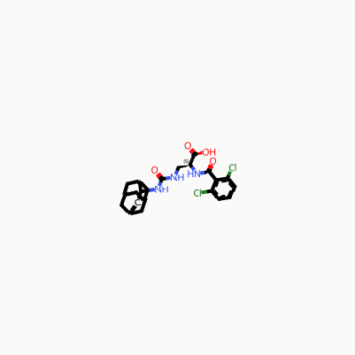 O=C(NC[C@H](NC(=O)c1c(Cl)cccc1Cl)C(=O)O)NC1CC2CC3CC(C2)CC1C3